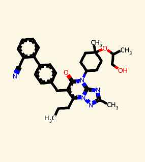 CCCc1c(Cc2ccc(-c3ccccc3C#N)cc2)c(=O)n(C2CCC(C)(OC(C)CO)CC2)c2nc(C)nn12